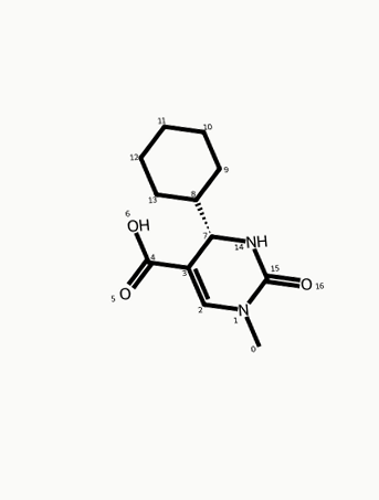 CN1C=C(C(=O)O)[C@H](C2CCCCC2)NC1=O